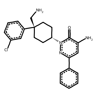 NC[C@]1(c2cccc(Cl)c2)CC[C@@H](n2nc(-c3ccccc3)cc(N)c2=O)CC1